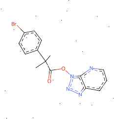 CC(C)(C(=O)On1nnc2cccnc21)c1ccc(Br)cc1